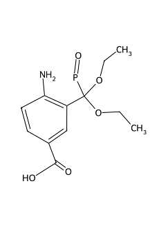 CCOC(OCC)(P=O)c1cc(C(=O)O)ccc1N